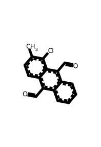 Cc1ccc2c(C=O)c3ccccc3c(C=O)c2c1Cl